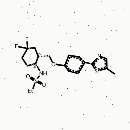 CCS(=O)(=O)N[C@H]1CCC(F)(F)C[C@@H]1COc1ccc(-c2ncc(C)s2)cc1